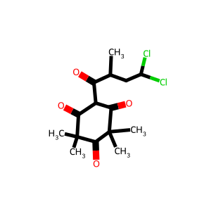 CC(CC(Cl)Cl)C(=O)C1C(=O)C(C)(C)C(=O)C(C)(C)C1=O